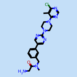 Cc1c(Cl)ncnc1N1CCN(c2ncc(-c3cccc(CN(C)C(=O)CN)c3)cn2)CC1